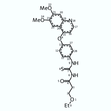 CCOCCC(=O)NC(=S)Nc1ccc(Oc2ccnc3cc(OC)c(OC)cc23)cc1